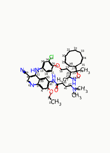 CCOc1cc2ncc(C#N)c(Nc3ccc(OCCC4C(C)NOC4(C)C4CCCCCCCC4)c(Cl)c3)c2cc1NC(=O)CCCN(C)C